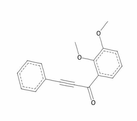 COc1cccc(C(=O)C#Cc2ccccc2)c1OC